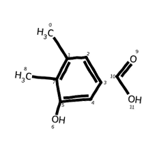 Cc1cccc(O)c1C.O=CO